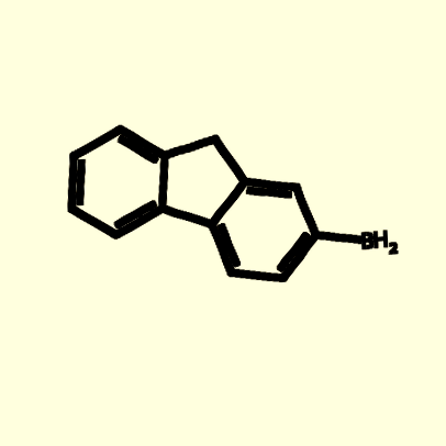 Bc1ccc2c(c1)Cc1ccccc1-2